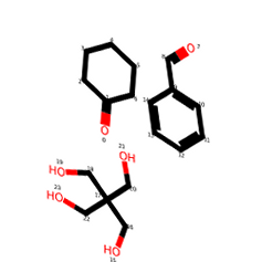 O=C1CCCCC1.O=Cc1ccccc1.OCC(CO)(CO)CO